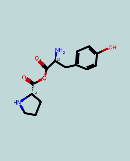 N[C@@H](Cc1ccc(O)cc1)C(=O)OC(=O)[C@@H]1CCCN1